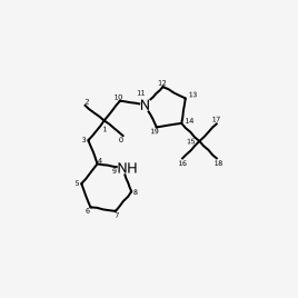 CC(C)(CC1CCCCN1)CN1CCC(C(C)(C)C)C1